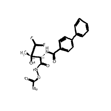 CC(C)(C)C(=O)ONC(=O)[C@@H](NC(=O)c1ccc(-c2ccccc2)cc1)[C@](C)(O)C(F)F